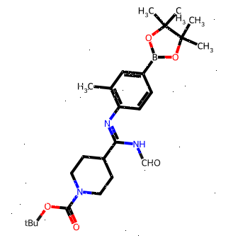 Cc1cc(B2OC(C)(C)C(C)(C)O2)ccc1/N=C(\NC=O)C1CCN(C(=O)OC(C)(C)C)CC1